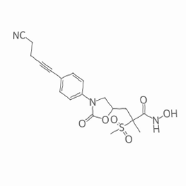 CC(CC1CN(c2ccc(C#CCCC#N)cc2)C(=O)O1)(C(=O)NO)S(C)(=O)=O